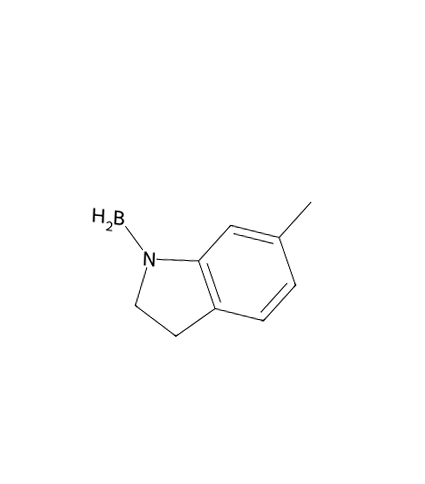 BN1CCc2ccc(C)cc21